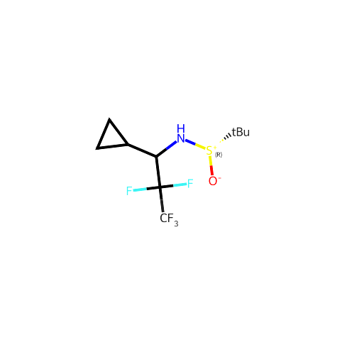 CC(C)(C)[S@+]([O-])NC(C1CC1)C(F)(F)C(F)(F)F